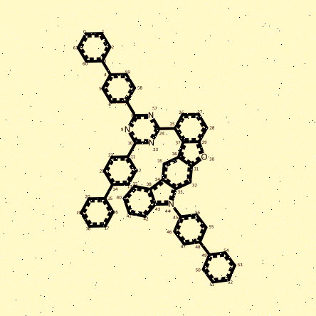 c1ccc(-c2ccc(-c3nc(-c4ccc(-c5ccccc5)cc4)nc(-c4cccc5oc6cc7c(cc6c45)c4ccccc4n7-c4ccc(-c5ccccc5)cc4)n3)cc2)cc1